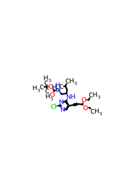 CCOC(C#Cc1cnc(Cl)nc1NC(CNC(=O)OC(C)(C)C)CC(C)C)OCC